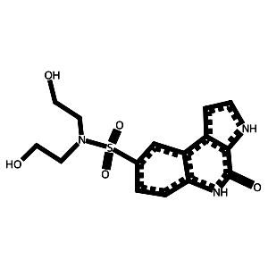 O=c1[nH]c2ccc(S(=O)(=O)N(CCO)CCO)cc2c2cc[nH]c12